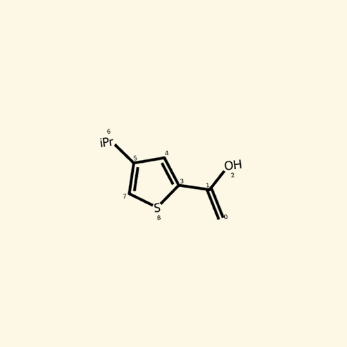 C=C(O)c1cc(C(C)C)cs1